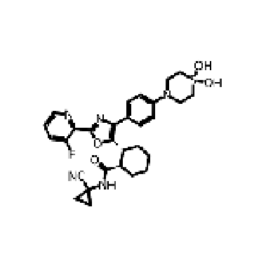 N#CC1(NC(=O)[C@@H]2CCCC[C@H]2c2oc(-c3ncccc3F)nc2-c2ccc(N3CCS(O)(O)CC3)cc2)CC1